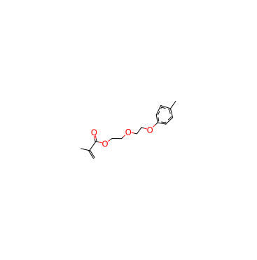 C=C(C)C(=O)OCCOCCOc1ccc(C)cc1